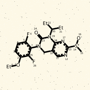 CCOc1ccc(F)c(N2Cc3cnc([S+](C)[O-])nc3N(C(CC)CC)C2=O)c1F